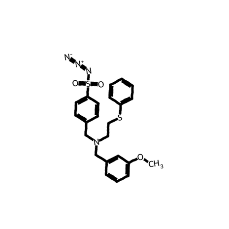 COc1cccc(CN(CCSc2ccccc2)Cc2ccc(S(=O)(=O)N=[N+]=[N-])cc2)c1